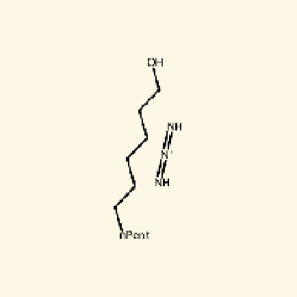 CCCCCCCCCCCO.N=[N+]=N